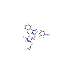 C#CCC1NC(=O)N([C@@H](Cc2ccccc2)c2ncc(-c3ccc(I)cc3)[nH]2)C1=O